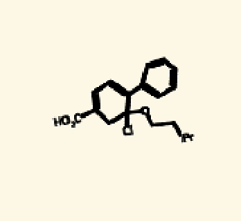 CC(C)CCOC1(Cl)CC(C(=O)O)=CC=C1c1ccccc1